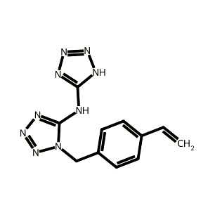 C=Cc1ccc(Cn2nnnc2Nc2nnn[nH]2)cc1